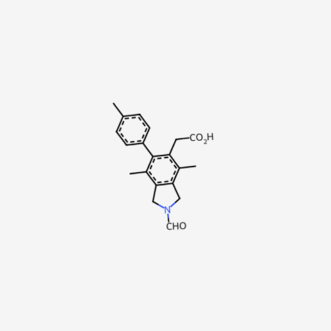 Cc1ccc(-c2c(C)c3c(c(C)c2CC(=O)O)CN(C=O)C3)cc1